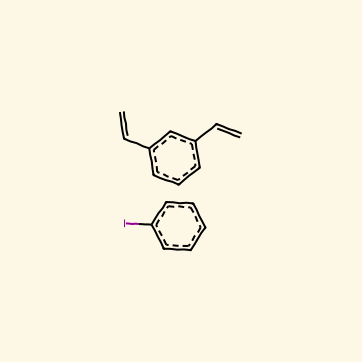 C=Cc1cccc(C=C)c1.Ic1ccccc1